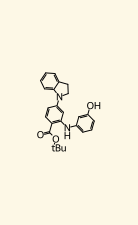 CC(C)(C)OC(=O)c1ccc(N2CCc3ccccc32)cc1Nc1cccc(O)c1